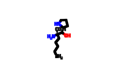 BCCCC[C@](N)(C(=O)O)C(O)[C@H]1CCCN1